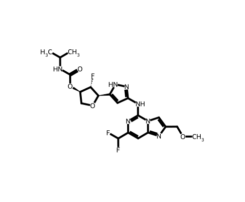 COCc1cn2c(Nc3cc([C@H]4OC[C@@H](OC(=O)NC(C)C)[C@@H]4F)[nH]n3)nc(C(F)F)cc2n1